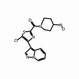 O=NC1CCN(C(=O)c2nc(-c3cnn4ccccc34)c(Cl)s2)CC1